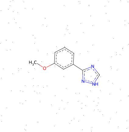 COc1c[c]cc(-c2nc[nH]n2)c1